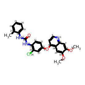 COc1cc2nccc(Oc3ccc(NC(=O)Nc4ccccc4C)c(Cl)c3)c2cc1OC